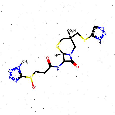 Cn1nnnc1[S+]([O-])CCC(=O)NC1C(=O)N2CC(CSc3cnn[nH]3)(C(=O)O)CS[C@H]12